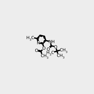 CC(=O)Oc1nc(C)ccc1NC(=O)OC(C)(C)C